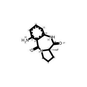 C[C@]12CCCN1C(=O)c1c(N)cccc1NC2=O